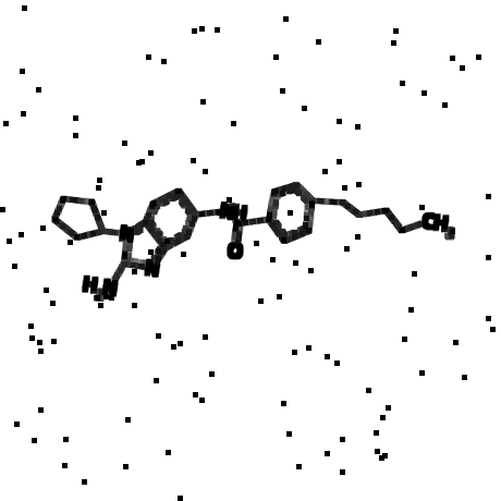 CCCCCc1ccc(C(=O)Nc2ccc3c(c2)nc(N)n3C2CCCC2)cc1